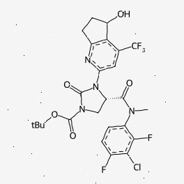 CN(C(=O)[C@@H]1CN(C(=O)OC(C)(C)C)C(=O)N1c1cc(C(F)(F)F)c2c(n1)CCC2O)c1ccc(F)c(Cl)c1F